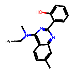 Cc1ccc2c(N(C)CC(C)C)nc(-c3ccccc3O)nc2c1